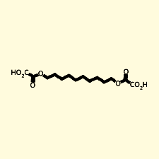 O=C(O)C(=O)OCCCCCCCCCCOC(=O)C(=O)O